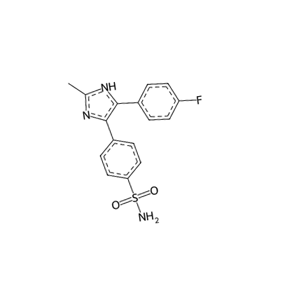 Cc1nc(-c2ccc(S(N)(=O)=O)cc2)c(-c2ccc(F)cc2)[nH]1